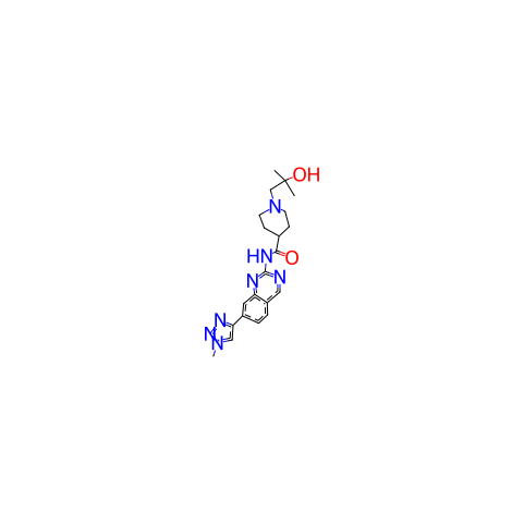 Cn1cc(-c2ccc3cnc(NC(=O)C4CCN(CC(C)(C)O)CC4)nc3c2)nn1